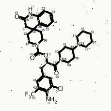 Nc1c(Cl)cc(C[C@@H](OC(=O)N2CCC3(CC2)CC(=O)Nc2ccccc23)C(=O)N2CCC(N3CCCCC3)CC2)cc1C(F)(F)F